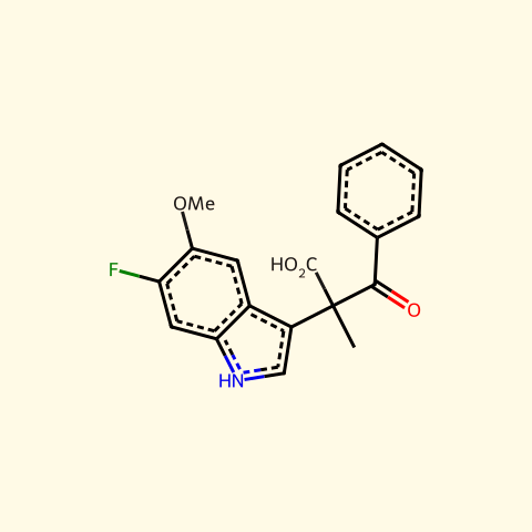 COc1cc2c(C(C)(C(=O)O)C(=O)c3ccccc3)c[nH]c2cc1F